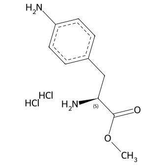 COC(=O)[C@@H](N)Cc1ccc(N)cc1.Cl.Cl